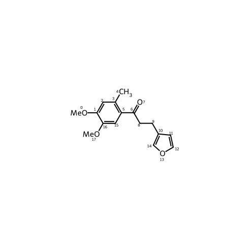 COc1cc(C)c(C(=O)CCc2ccoc2)cc1OC